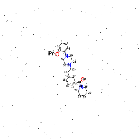 CC(C)Oc1ccccc1N1CCN(CCc2cccc(C(=O)N3CCCCC3)c2)CC1